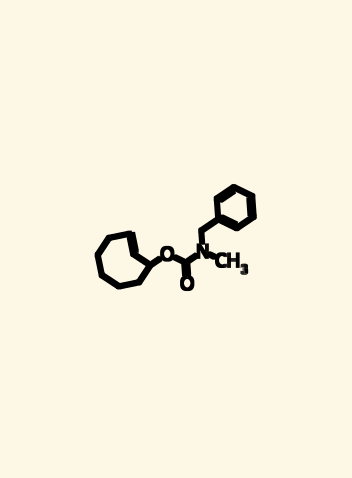 CN(Cc1ccccc1)C(=O)OC1/C=C/CCCCC1